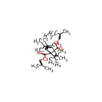 CC(C)=COC(=O)C(C=C(C)C)(C=C(C)C)C(C=C(C)C)(C=C(C)C)C(=O)OC=C(C)C